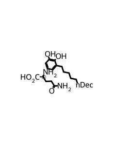 CCCCCCCCCCCCCCCc1cccc(O)c1O.NC(=O)CC[C@H](N)C(=O)O